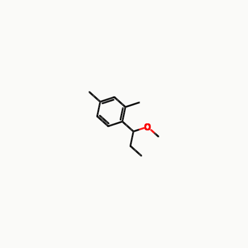 CCC(OC)c1ccc(C)cc1C